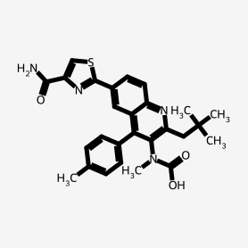 Cc1ccc(-c2c(N(C)C(=O)O)c(CC(C)(C)C)nc3ccc(-c4nc(C(N)=O)cs4)cc23)cc1